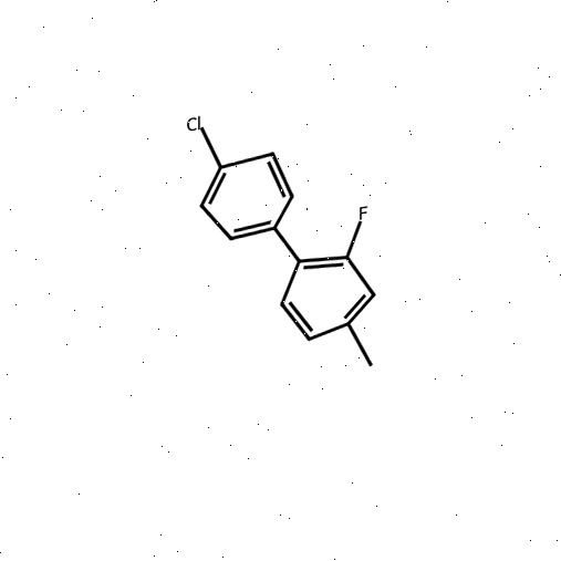 Cc1ccc(-c2ccc(Cl)cc2)c(F)c1